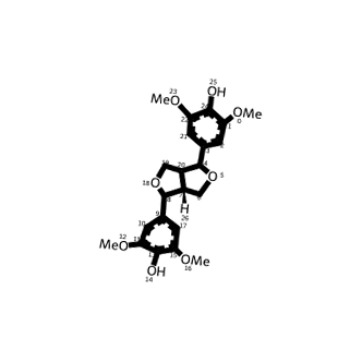 COc1cc(C2OC[C@@H]3C(c4cc(OC)c(O)c(OC)c4)OCC23)cc(OC)c1O